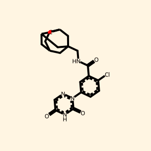 O=C(NCC12CC3CCC(CC(C3)C1)C2)c1cc(-n2ncc(=O)[nH]c2=O)ccc1Cl